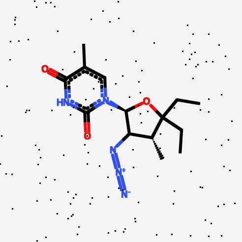 CCC1(CC)O[C@H](n2cc(C)c(=O)[nH]c2=O)C(N=[N+]=[N-])[C@H]1C